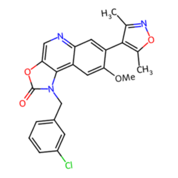 COc1cc2c(cc1-c1c(C)noc1C)ncc1oc(=O)n(Cc3cccc(Cl)c3)c12